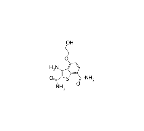 NC(=O)c1sc2c(C(N)=O)ccc(OCCO)c2c1N